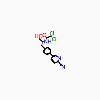 N#Cc1ccc(-c2ccc(C[C@@H](CO)NC(=O)C(Cl)Cl)cc2)cn1